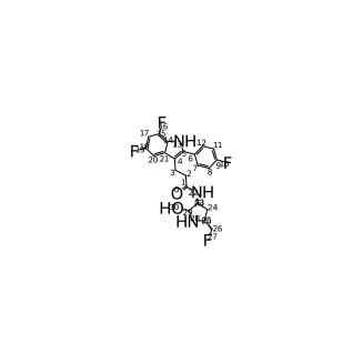 O=C(CCc1c(-c2ccc(F)cc2)[nH]c2c(F)cc(F)cc12)N[C@H]1C[C@@H](CF)NC1O